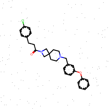 O=C(CCc1ccc(Cl)cc1)N1CC2(CCN(Cc3cccc(Oc4ccccc4)c3)CC2)C1